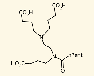 CCCCCC(=O)N(CCCC(=O)O)CCN(CCCC(=O)O)CCCC(=O)O